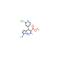 CCOC(=O)c1c(C)nn2c(CC)ccc2c1-c1ccnc(Cl)c1